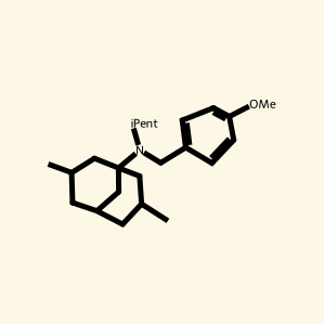 CCCC(C)N(Cc1ccc(OC)cc1)C12CC(C)CC(CC(C)C1)C2